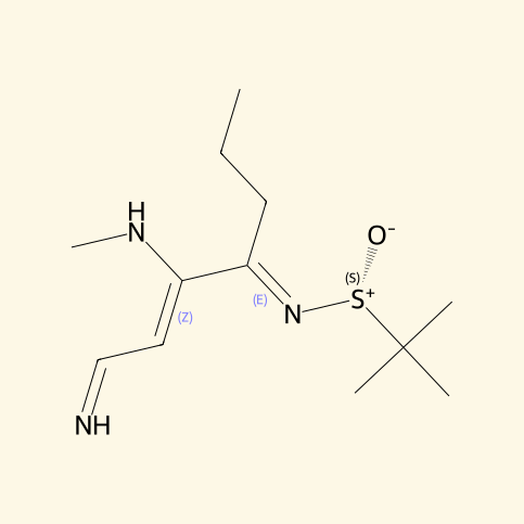 CCCC(=N\[S@+]([O-])C(C)(C)C)/C(=C/C=N)NC